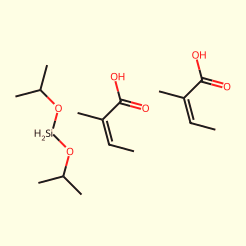 CC(C)O[SiH2]OC(C)C.CC=C(C)C(=O)O.CC=C(C)C(=O)O